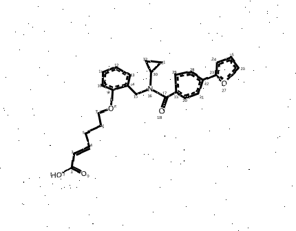 O=C(O)C=CCCCOc1ccccc1CN(C(=O)c1ccc(-c2ccco2)cc1)C1CC1